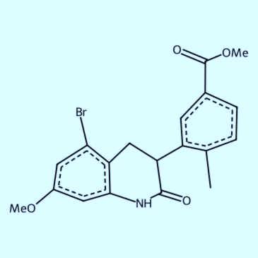 COC(=O)c1ccc(C)c(C2Cc3c(Br)cc(OC)cc3NC2=O)c1